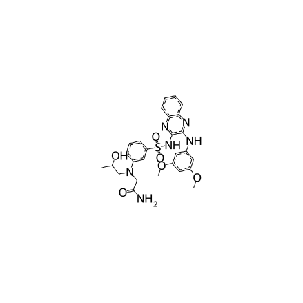 COc1cc(Nc2nc3ccccc3nc2NS(=O)(=O)c2cccc(N(CC(N)=O)CC(C)O)c2)cc(OC)c1